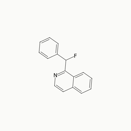 FC(c1ccccc1)c1nccc2ccccc12